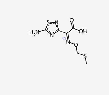 CSCO/N=C(\C(=O)O)c1nsc(N)n1